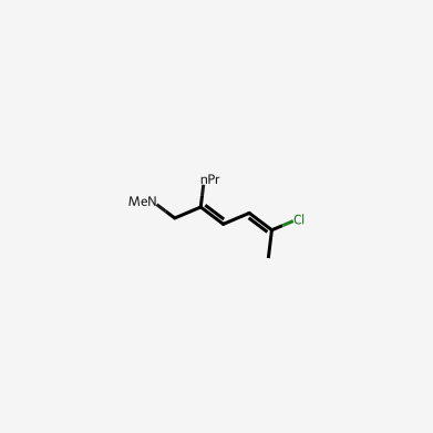 CCC/C(=C\C=C(/C)Cl)CNC